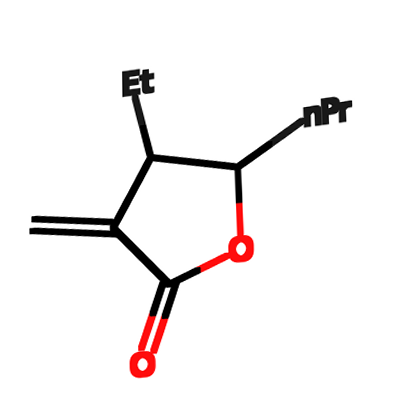 C=C1C(=O)OC(CCC)C1CC